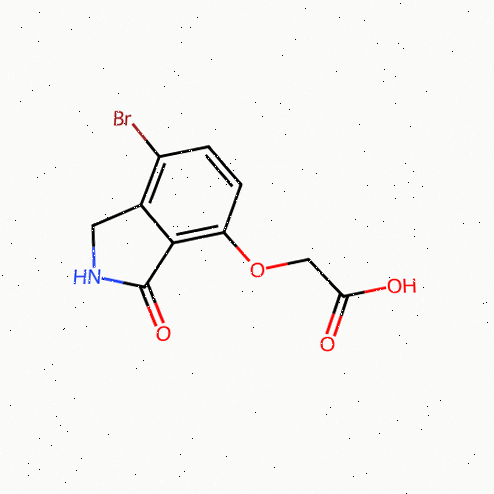 O=C(O)COc1ccc(Br)c2c1C(=O)NC2